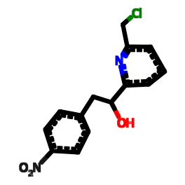 O=[N+]([O-])c1ccc(CC(O)c2cccc(CCl)n2)cc1